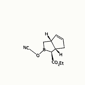 CCOC(=O)[C@H]1B(OC#N)C[C@@H]2C=CC[C@H]12